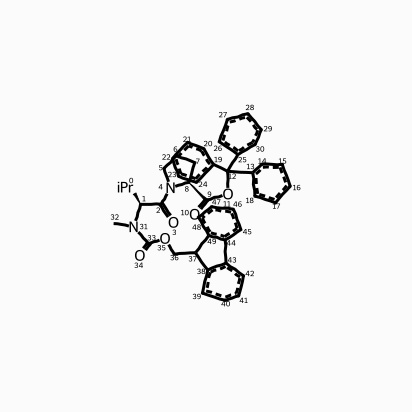 CC(C)[C@@H](C(=O)N1CCC[C@H]1C(=O)OC(c1ccccc1)(c1ccccc1)c1ccccc1)N(C)C(=O)OCC1c2ccccc2-c2ccccc21